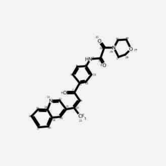 O=C(Nc1ccc(C(=O)/C=C(\c2cnc3ccccc3c2)C(F)(F)F)cc1)C(=O)N1CCOCC1